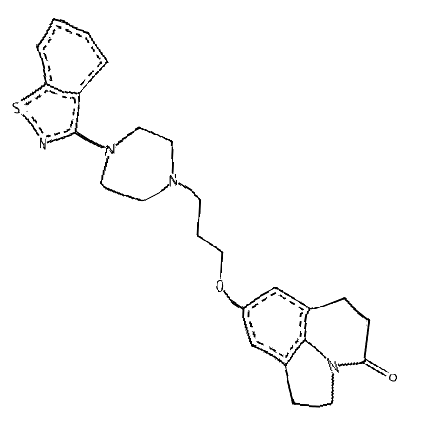 O=C1CCc2cc(OCCCN3CCN(c4nsc5ccccc45)CC3)cc3c2N1CC3